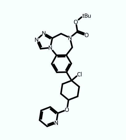 CC(C)(C)OC(=O)N1Cc2cc(C3(Cl)CCC(Oc4ccccn4)CC3)ccc2-n2cnnc2C1